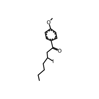 CCCCC(I)CC(=O)c1ccc(OC)cc1